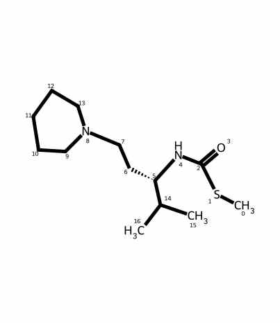 CSC(=O)N[C@@H](CCN1CCCCC1)C(C)C